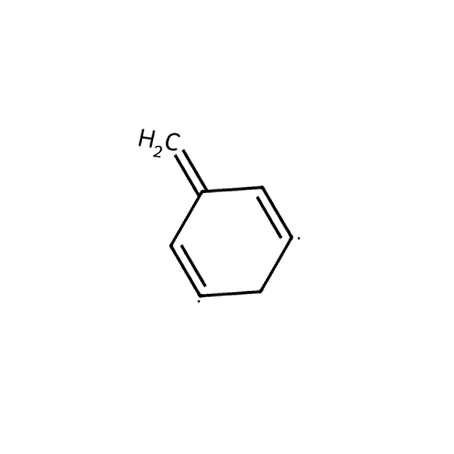 C=C1C=[C]C[C]=C1